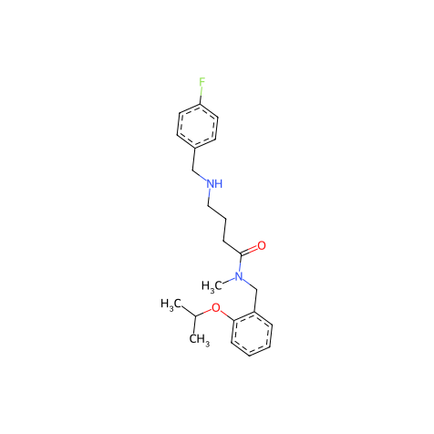 CC(C)Oc1ccccc1CN(C)C(=O)CCCNCc1ccc(F)cc1